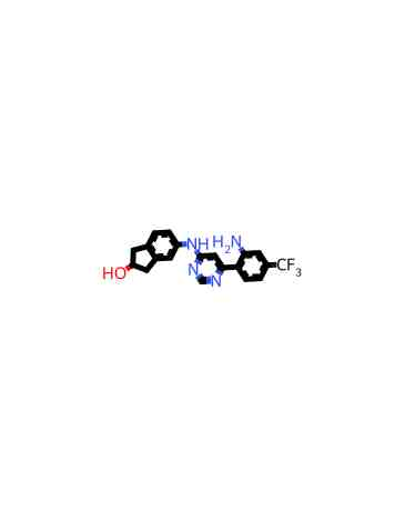 Nc1cc(C(F)(F)F)ccc1-c1cc(Nc2ccc3c(c2)CC(O)C3)ncn1